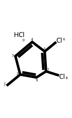 Cl.[CH2]c1ccc(Cl)c(Cl)c1